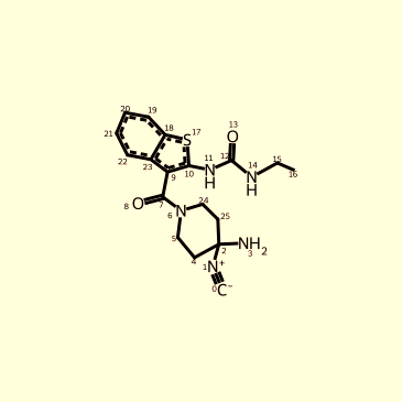 [C-]#[N+]C1(N)CCN(C(=O)c2c(NC(=O)NCC)sc3ccccc23)CC1